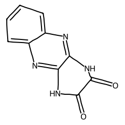 O=c1[nH]c2nc3ccccc3nc2[nH]c1=O